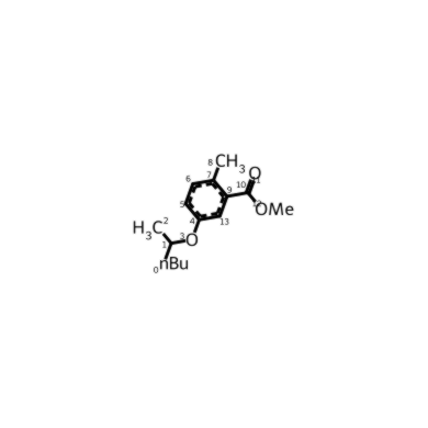 CCCCC(C)Oc1ccc(C)c(C(=O)OC)c1